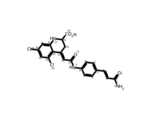 NC(=O)C=Cc1ccc(NC(=O)C=C2CC(C(=O)O)Nc3cc(Cl)cc(Cl)c32)cc1